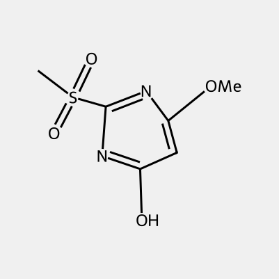 COc1cc(O)nc(S(C)(=O)=O)n1